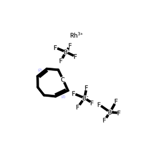 C1=C\CC/C=C\CC/1.F[B-](F)(F)F.F[B-](F)(F)F.F[B-](F)(F)F.[Rh+3]